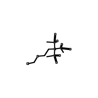 CS(=O)(=O)[Si](CCOCCl)(S(C)(=O)=O)S(C)(=O)=O